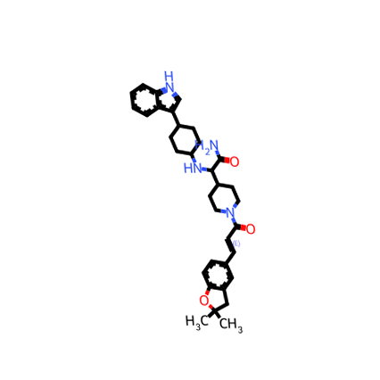 CC1(C)Cc2cc(/C=C/C(=O)N3CCC(C(NC4CCC(c5c[nH]c6ccccc56)CC4)C(N)=O)CC3)ccc2O1